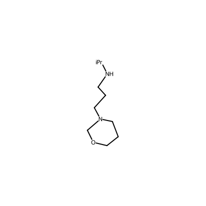 CC(C)NCCCN1CCCOC1